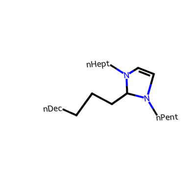 CCCCCCCCCCCCCC1N(CCCCC)C=CN1CCCCCCC